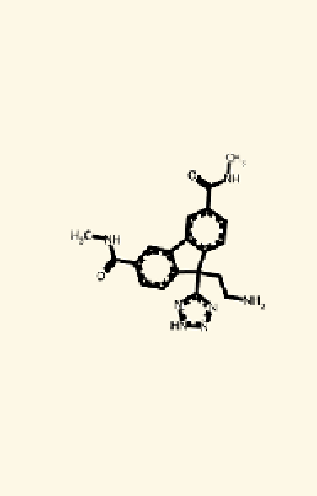 CNC(=O)c1ccc2c(c1)-c1cc(C(=O)NC)ccc1C2(CCN)c1nn[nH]n1